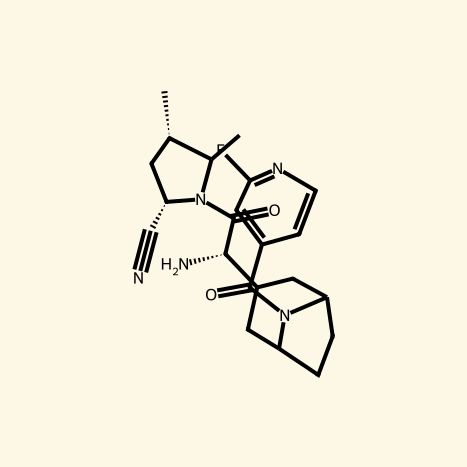 CC1[C@@H](C)C[C@@H](C#N)N1C(=O)[C@@H](N)C1CC2CCC(C1)N2C(=O)c1ccnc(F)c1